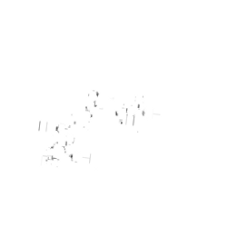 CC(=O)OC[C@]1(N)C[C@@H](C(=O)N2CCC(C(C)Oc3ccc(F)cc3C)CC2)C1